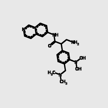 CN(C)Cc1ccc(C(CN)C(=O)Nc2ccc3cnccc3c2)cc1B(O)O